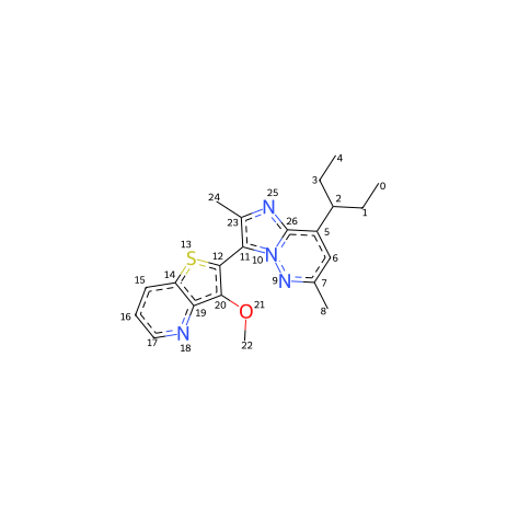 CCC(CC)c1cc(C)nn2c(-c3sc4cccnc4c3OC)c(C)nc12